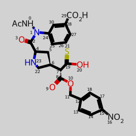 CC(=O)NN(C(=O)C1C[C@@H]([C@@H](C(=O)OCc2ccc([N+](=O)[O-])cc2)C(O)=S)CN1)c1cccc(C(=O)O)c1